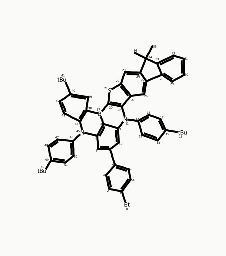 CCc1ccc(-c2cc3c4c(c2)N(c2ccc(C(C)(C)C)cc2)c2c(sc5cc6c(cc25)-c2ccccc2C6(C)C)B4c2cc(C(C)(C)C)ccc2N3c2ccc(C(C)(C)C)cc2)cc1